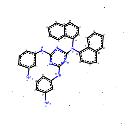 Nc1cccc(Nc2nc(Nc3cccc(N)c3)nc(N(c3cccc4ccccc34)c3cccc4ccccc34)n2)c1